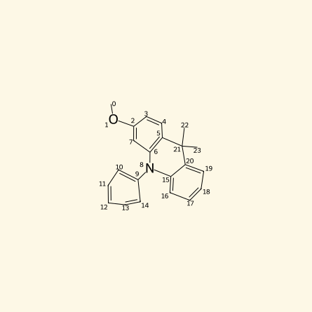 COc1ccc2c(c1)N(c1ccccc1)c1ccccc1C2(C)C